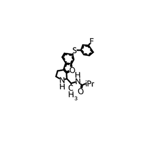 CC(C)C(=O)NC(C)C1NCCc2c1oc1cc(Sc3cccc(F)c3)ccc21